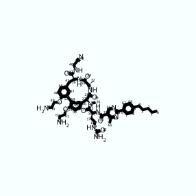 CCCCCc1ccc(-c2ncc(C(=O)N[C@@H](CCNC(N)=O)C(=O)N(C)[C@@H]3C(=O)N[C@@H](C)C(=O)N[C@H](C(=O)NCC#N)Cc4ccc(OCCN)c(c4)-c4cc3ccc4OCCN)c(C)n2)cc1